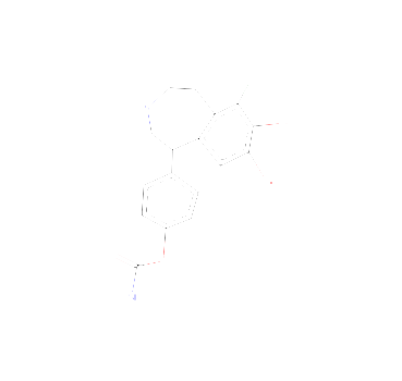 NC(=O)Oc1ccc(C2CNCCc3c2cc(O)c(O)c3Cl)cc1